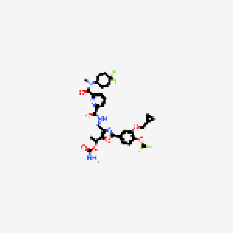 CC(OC(N)=O)c1oc(-c2ccc(OC(F)F)c(OCC3CC3)c2)nc1CNC(=O)c1cccc(C(=O)N(C)C2CCC(F)(F)CC2)n1